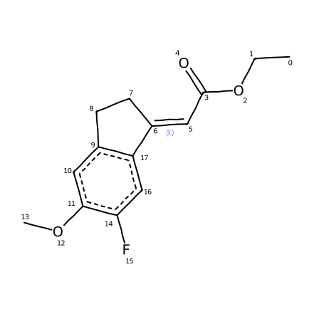 CCOC(=O)/C=C1\CCc2cc(OC)c(F)cc21